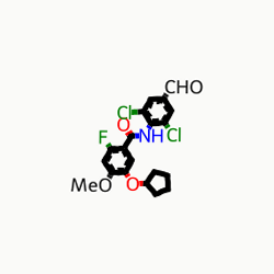 COc1cc(F)c(C(=O)Nc2c(Cl)cc(C=O)cc2Cl)cc1OC1CCCC1